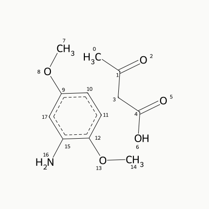 CC(=O)CC(=O)O.COc1ccc(OC)c(N)c1